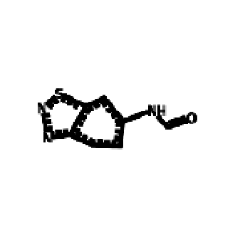 O=CNc1ccc2nnsc2c1